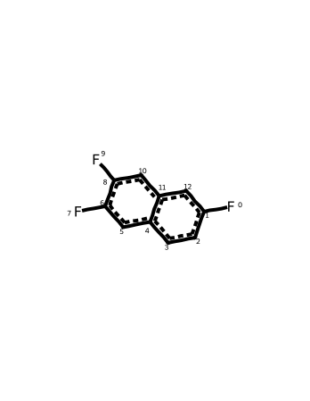 Fc1ccc2[c]c(F)c(F)cc2c1